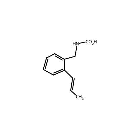 CC=Cc1ccccc1CNC(=O)O